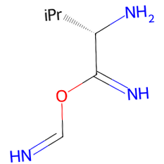 CC(C)[C@H](N)C(=N)OC=N